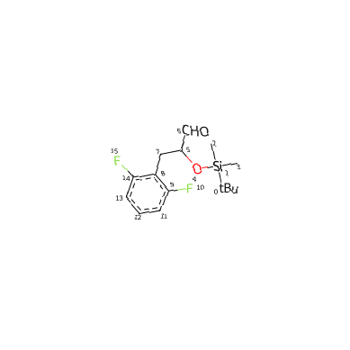 CC(C)(C)[Si](C)(C)OC(C=O)Cc1c(F)cccc1F